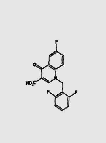 O=C(O)c1cn(Cc2c(F)cccc2F)c2ccc(F)cc2c1=O